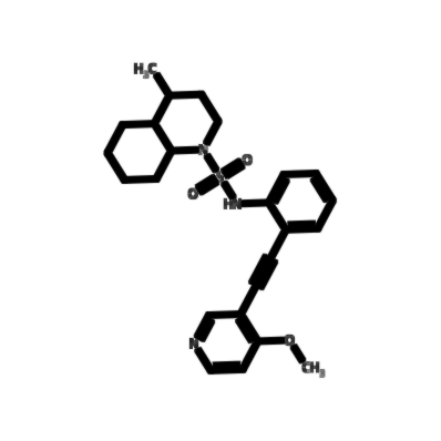 COc1ccncc1C#Cc1ccccc1NS(=O)(=O)N1CCC(C)C2CCCCC21